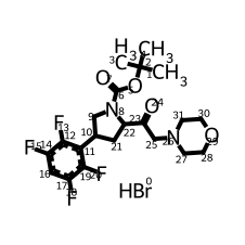 Br.CC(C)(C)OC(=O)N1CC(c2c(F)c(F)cc(F)c2F)CC1C(=O)CN1CCOCC1